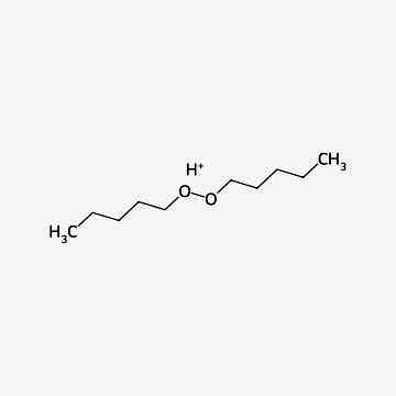 CCCCCOOCCCCC.[H+]